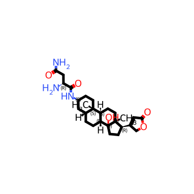 C[C@]12CC[C@H](NC(=O)[C@H](N)CC(N)=O)C[C@H]1CC[C@@H]1[C@@H]2CC[C@]2(C)[C@@H](C3=CC(=O)OC3)CC[C@]12O